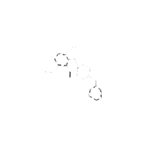 COc1ccc(OC)c2c1CC1(CCN(Cc3ccccc3)CC1)C2=O